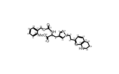 COC(=O)C(Cc1cnn(CCc2ccc3c(n2)NCCC3)c1)NC(=O)OCc1ccccc1